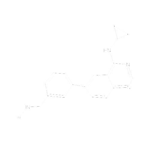 CC(C)(C)NCc1cccc(-c2ccc3ncnc(NC4CC4)c3c2)c1